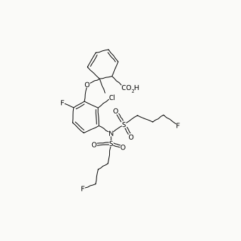 CC1(Oc2c(F)ccc(N(S(=O)(=O)CCCF)S(=O)(=O)CCCF)c2Cl)C=CC=CC1C(=O)O